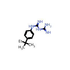 CCC(C)(C)c1ccc(NC(=N)NC(=N)N)cc1